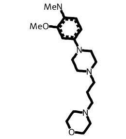 CNc1ccc(N2CCN(CCCN3CCOCC3)CC2)cc1OC